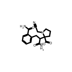 N#CCN1CCCC1(C(=O)O)C(Cc1ccccc1C(N)=O)C(N)=O